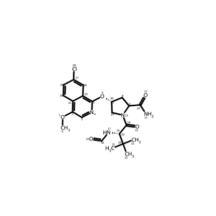 COc1cnc(O[C@@H]2CC(C(N)=O)N(C(=O)[C@@H](NC=O)C(C)(C)C)C2)c2cc(Cl)ccc12